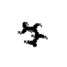 COc1ccc(N(c2ccccc2)c2ccc(-c3ccc(N(c4ccc(OC)cc4)c4ccc(-c5ccc(N(c6ccc(OC)cc6)c6ccc(-c7ccc(N(c8ccc(OC)cc8)c8ccc(OC)cc8)cc7)cc6)c(C)c5)cc4C)cc3)cc2)cc1